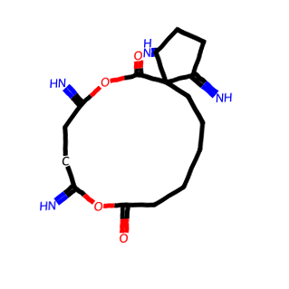 N=C1CCC(=N)OC(=O)C2(CCCCCC(=O)O1)C(=N)CCC2=N